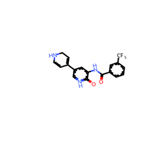 O=C(Nc1cc(C2=CCNC=C2)c[nH]c1=O)c1cccc(C(F)(F)F)c1